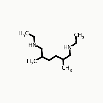 CCNCC(C)CCC(C)CNCC